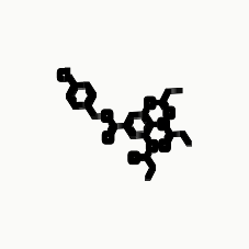 CCC(=O)Oc1cc(C(=O)OCc2ccc(Cl)cc2)cc(OC(=O)CC)c1OC(=O)CC